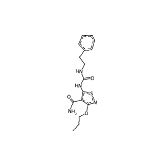 CCCOc1nsc(NC(=O)NCCc2ccccc2)c1C(N)=O